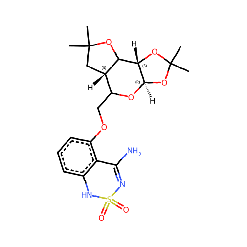 CC1(C)C[C@H]2C(COc3cccc4c3C(N)=NS(=O)(=O)N4)O[C@@H]3OC(C)(C)O[C@H]3C2O1